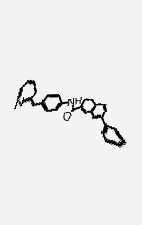 O=C(Nc1ccc(CC2=NC=CC=CC2)cc1)C1=Cc2cc(-c3ccccc3)ccc2CC1